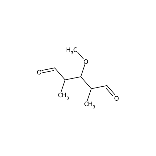 COC(C(C)C=O)C(C)C=O